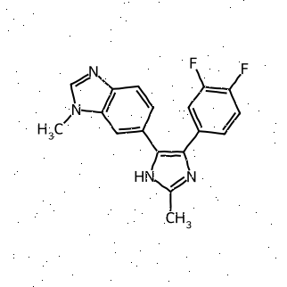 Cc1nc(-c2ccc(F)c(F)c2)c(-c2ccc3ncn(C)c3c2)[nH]1